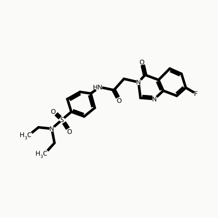 CCN(CC)S(=O)(=O)c1ccc(NC(=O)Cn2cnc3cc(F)ccc3c2=O)cc1